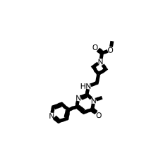 COC(=O)N1CC(CNc2nc(-c3ccncc3)cc(=O)n2C)C1